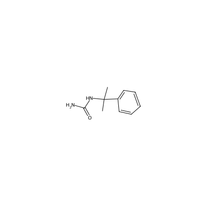 CC(C)(NC(N)=O)c1ccccc1